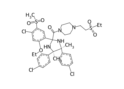 CCOc1cc(Cl)c(S(C)(=O)=O)cc1C1(C(=O)N2CCN(CCS(=O)(=O)CC)CC2)N[C@@](C)(c2ccc(Cl)cc2)[C@@](C)(c2ccc(Cl)cc2)N1